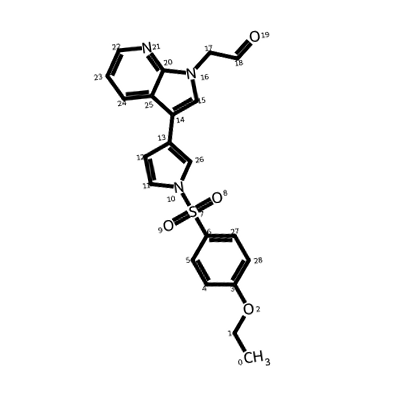 CCOc1ccc(S(=O)(=O)n2ccc(-c3cn(CC=O)c4ncccc34)c2)cc1